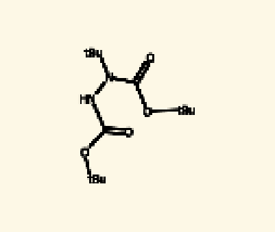 CC(C)(C)OC(=O)NN(C(=O)OC(C)(C)C)C(C)(C)C